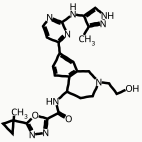 Cc1n[nH]cc1Nc1nccc(-c2ccc3c(c2)CN(CCO)CCC3NC(=O)c2nnc(C3(C)CC3)o2)n1